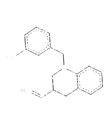 C=CC1Cc2ccccc2N(Cc2cccc(C(F)(F)F)c2)C1